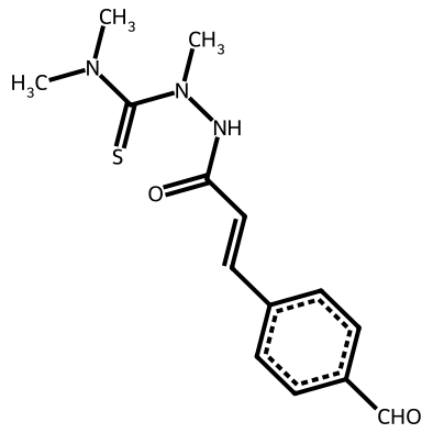 CN(C)C(=S)N(C)NC(=O)C=Cc1ccc(C=O)cc1